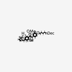 CCCCCCCCCCCCCCOc1ccc(NC(=O)c2ccc(C[n+]3ccsc3C)cc2)cc1OC.[Br-]